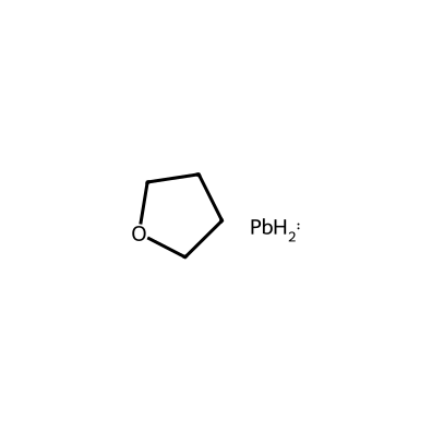 C1CCOC1.[PbH2]